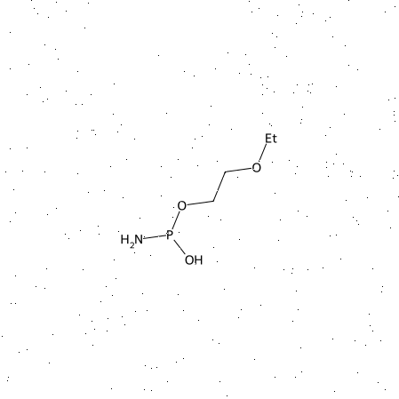 CCOCCOP(N)O